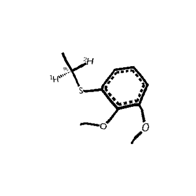 [1H][C@@]([2H])(C)Sc1cccc(OC)c1OC